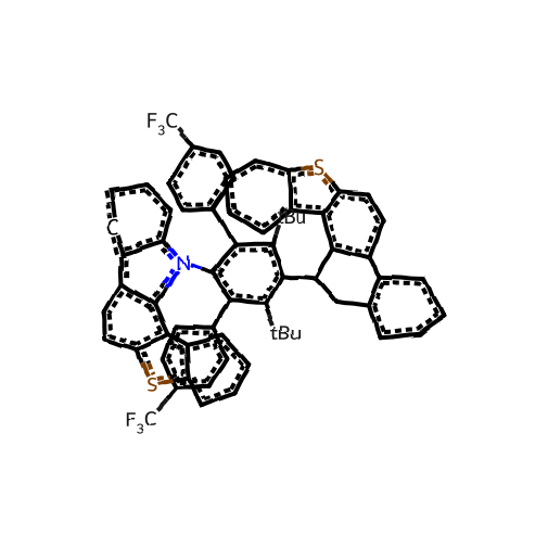 CC(C)(C)c1c(-c2ccc(C(F)(F)F)cc2)c(-n2c3ccccc3c3ccc4sc5ccccc5c4c32)c(-c2ccc(C(F)(F)F)cc2)c(C(C)(C)C)c1C1Cc2ccccc2-c2ccc3sc4ccccc4c3c21